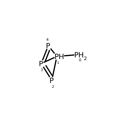 P[PH]12P=P1=P2